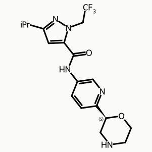 CC(C)c1cc(C(=O)Nc2ccc([C@@H]3CNCCO3)nc2)n(CC(F)(F)F)n1